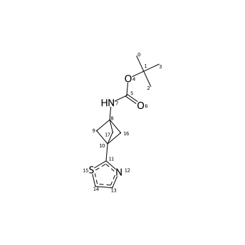 CC(C)(C)OC(=O)NC12CC(c3nccs3)(C1)C2